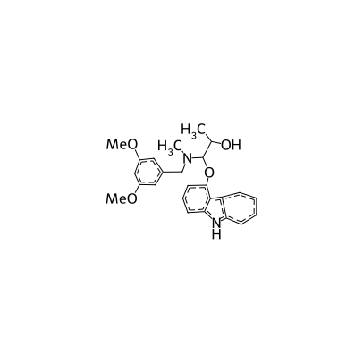 COc1cc(CN(C)C(Oc2cccc3[nH]c4ccccc4c23)C(C)O)cc(OC)c1